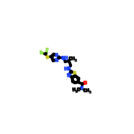 CC(CNc1ncc(SC(F)F)cn1)CNc1nc2ccc(C(=O)N(C)C)cc2s1